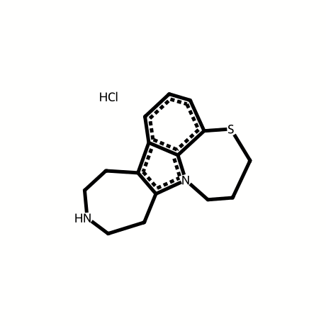 Cl.c1cc2c3c(c1)c1c(n3CCCS2)CCNCC1